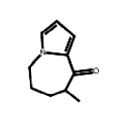 CC1CCCn2cccc2C1=O